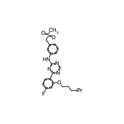 CC(C)CCCOc1cc(F)ccc1-c1ncnc(Nc2cccc(CS(C)(=O)=O)c2)n1